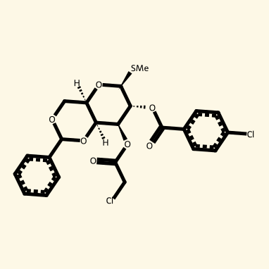 CS[C@@H]1O[C@@H]2COC(c3ccccc3)O[C@@H]2[C@H](OC(=O)CCl)[C@H]1OC(=O)c1ccc(Cl)cc1